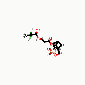 CC(F)(F)C(=O)OCCC(=O)OC1C2CC3C1OS(=O)(=O)C3C2